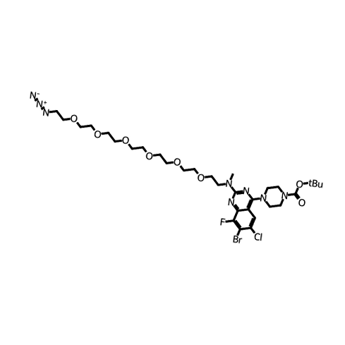 CN(CCOCCOCCOCCOCCOCCOCCN=[N+]=[N-])c1nc(N2CCN(C(=O)OC(C)(C)C)CC2)c2cc(Cl)c(Br)c(F)c2n1